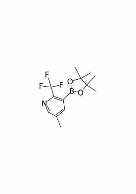 Cc1cnc(C(F)(F)F)c(B2OC(C)(C)C(C)(C)O2)c1